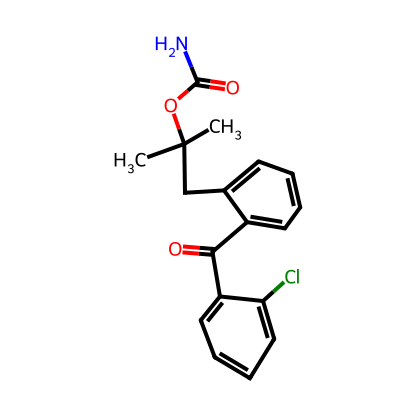 CC(C)(Cc1ccccc1C(=O)c1ccccc1Cl)OC(N)=O